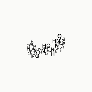 O=C1CSc2ccc(CNC[C@H]3CN(CCn4c(=O)ccc5ncc(F)cc54)C[C@H]3O)nc2N1